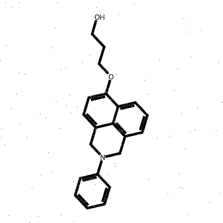 OCCCOc1ccc2c3c(cccc13)CN(c1ccccc1)C2